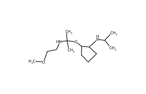 COCCNC(C)(C)OC1CCCC1NC(C)C